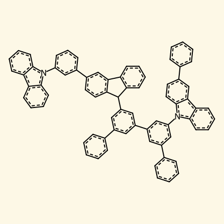 c1ccc(-c2cc(-c3cc(-c4ccccc4)cc(-n4c5ccccc5c5cc(-c6ccccc6)ccc54)c3)cc(C3c4ccccc4-c4cc(-c5cccc(-n6c7ccccc7c7ccccc76)c5)ccc43)c2)cc1